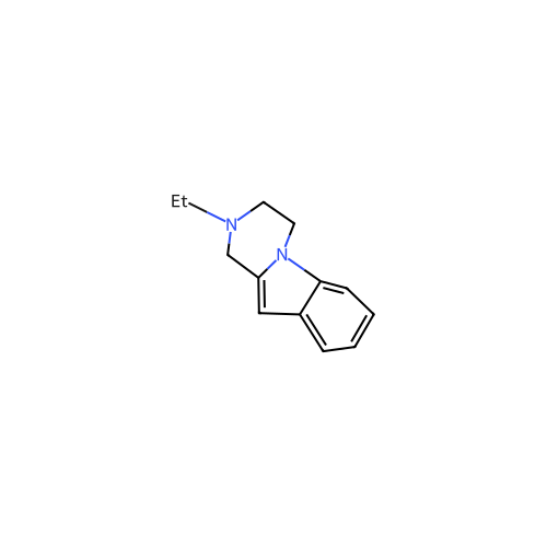 CCN1CCn2c(cc3ccccc32)C1